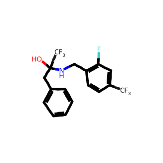 OC(Cc1ccccc1)(NCc1ccc(C(F)(F)F)cc1F)C(F)(F)F